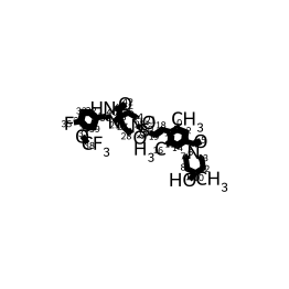 Cc1cc(C(=O)N2CCC(C)(O)CC2)cc(C)c1C=CS(=O)(=O)N1CCC2(CC1)N=C(c1ccc(F)c(OC(F)(F)F)c1)NC2=O